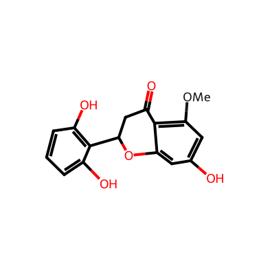 COc1cc(O)cc2c1C(=O)CC(c1c(O)cccc1O)O2